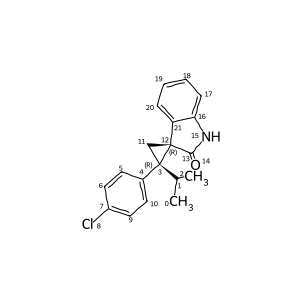 CC(C)[C@@]1(c2ccc(Cl)cc2)C[C@@]12C(=O)Nc1ccccc12